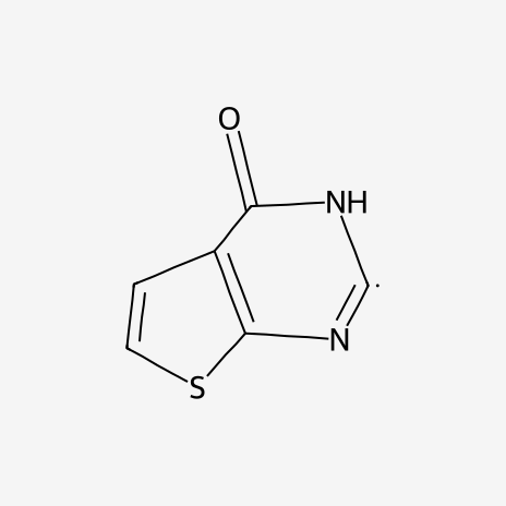 O=c1[nH][c]nc2sccc12